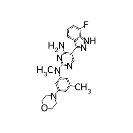 Cc1cc(N2CCOCC2)cc(N(C)c2ncc(-c3n[nH]c4c(F)cccc34)c(N)n2)c1